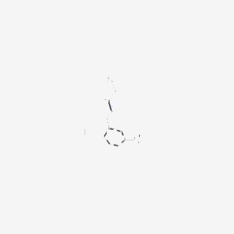 CN(C)c1cccc(C/C=C(\F)CN)c1.Cl